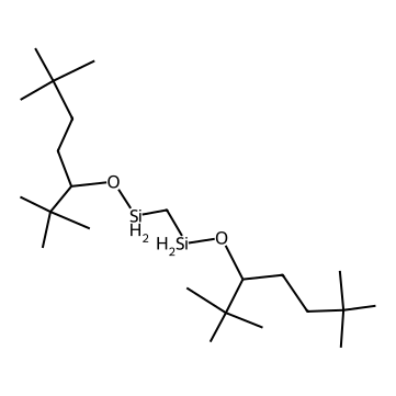 CC(C)(C)CCC(O[SiH2]C[SiH2]OC(CCC(C)(C)C)C(C)(C)C)C(C)(C)C